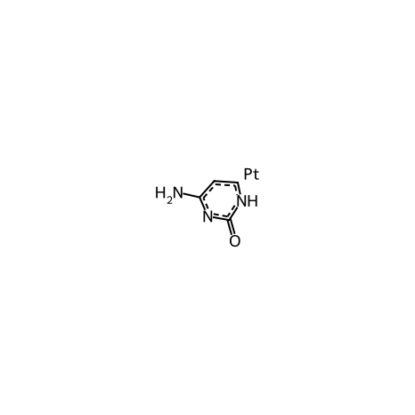 Nc1cc[nH]c(=O)n1.[Pt]